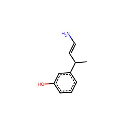 CC(C=CN)c1cccc(O)c1